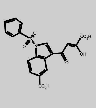 O=C(O)C(O)=CC(=O)c1cn(S(=O)(=O)c2ccccc2)c2ccc(C(=O)O)cc12